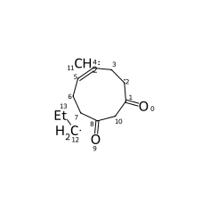 O=C1[CH]CC=CCCC(=O)C1.[CH2].[CH2]C[CH2]